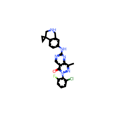 Cc1nn(-c2c(F)cccc2Cl)c(=O)c2cnc(Nc3ccc4c(c3)CNCC43CC3)nc12